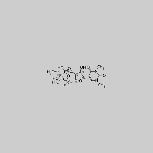 CC[C@](F)(C[C@H]1O[C@@H](c2cn(C)c(=O)n(C)c2=O)[C@H](O)[C@@H]1O)OP(=O)(O)[C@@](C)(O)CC